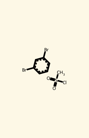 Brc1cccc(Br)c1.CS(=O)(=O)Cl